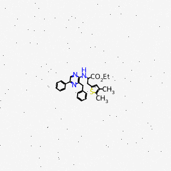 CCOC(=O)C(Cc1cc(C)c(C)s1)Nc1ncc(-c2ccccc2)nc1Cc1ccccc1